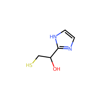 OC(CS)c1ncc[nH]1